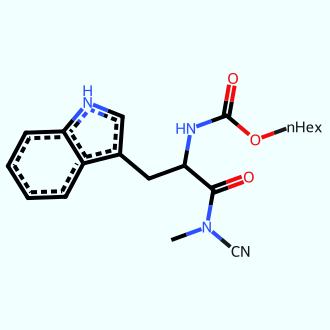 CCCCCCOC(=O)NC(Cc1c[nH]c2ccccc12)C(=O)N(C)C#N